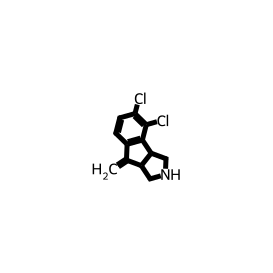 C=C1c2ccc(Cl)c(Cl)c2C2CNCC12